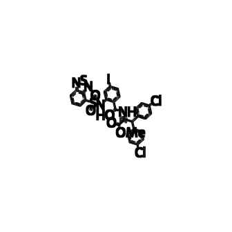 COC(=O)[C@@H](NC(=O)c1ccc(I)cc1NS(=O)(=O)c1cccc2nsnc12)C(c1ccc(Cl)cc1)c1ccc(Cl)cc1